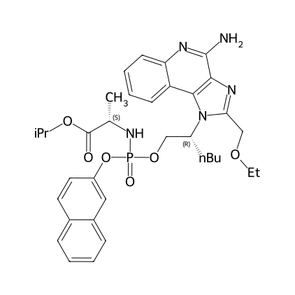 CCCC[C@H](COP(=O)(N[C@@H](C)C(=O)OC(C)C)Oc1ccc2ccccc2c1)n1c(COCC)nc2c(N)nc3ccccc3c21